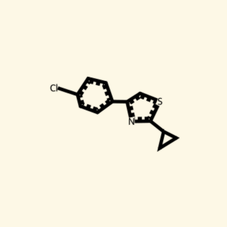 Clc1ccc(-c2csc([C]3CC3)n2)cc1